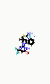 NC1=N[C@@]2(c3ccccc3F)CN(c3nc(C(F)F)cc(=O)[nH]3)C[C@H]2CS1